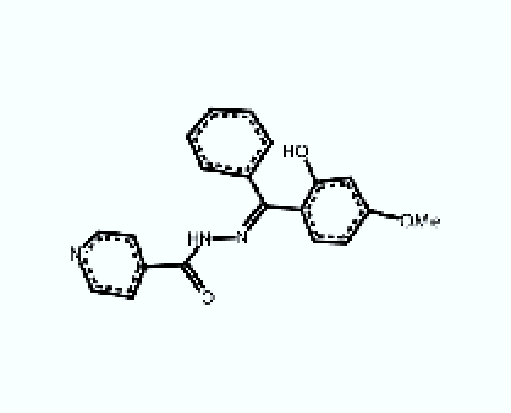 COc1ccc(C(=NNC(=O)c2ccncc2)c2ccccc2)c(O)c1